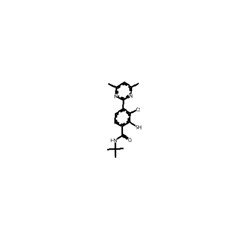 Cc1cc(C)nc(-c2ccc(C(=O)NC(C)(C)C)c(S)c2Cl)n1